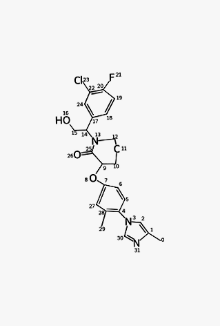 Cc1cn(-c2ccc(OC3CCCN(C(CO)c4ccc(F)c(Cl)c4)C3=O)cc2C)cn1